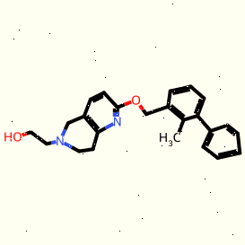 Cc1c(COc2ccc3c(n2)CCN(CCO)C3)cccc1-c1ccccc1